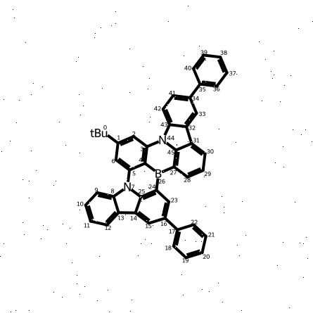 CC(C)(C)c1cc2c3c(c1)-n1c4ccccc4c4cc(-c5ccccc5)cc(c41)B3c1cccc3c4cc(-c5ccccc5)ccc4n-2c13